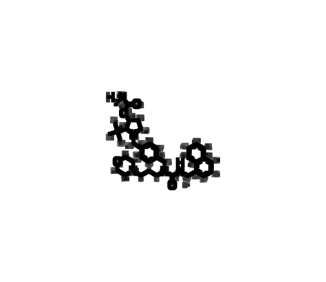 C[C@H](NC(=O)N(CCCN1CCOCC1)Cc1ccc(CN2CCC(OC(N)=O)C2C(C)(C)C)cc1)c1cccc2ccccc12